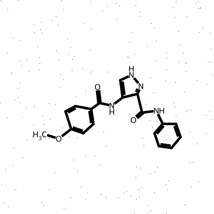 COc1ccc(C(=O)Nc2c[nH]nc2C(=O)Nc2ccccc2)cc1